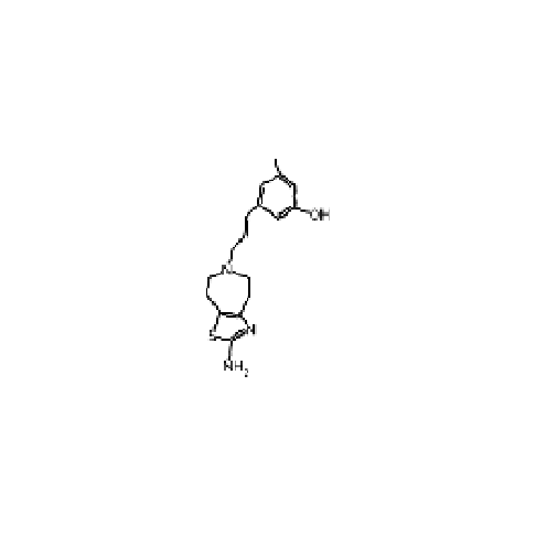 Cc1cc(O)cc(C=CCN2CCc3nc(N)sc3CC2)c1